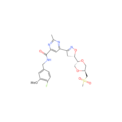 COc1cc(CNC(=O)c2cc(C3=NO[C@H]([C@H]4CO[C@H](CS(C)(=O)=O)CO4)C3)nc(C)n2)ccc1F